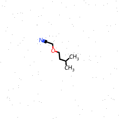 CC(C)CCOCC#N